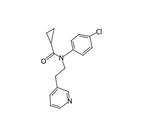 O=C(C1CC1)N(CCc1cccnc1)c1ccc(Cl)cc1